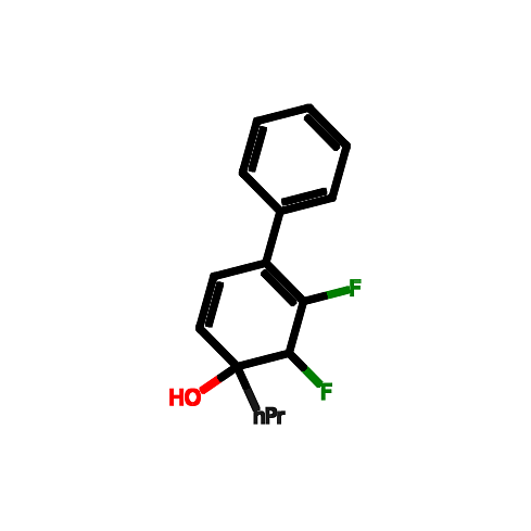 CCCC1(O)C=CC(c2ccccc2)=C(F)C1F